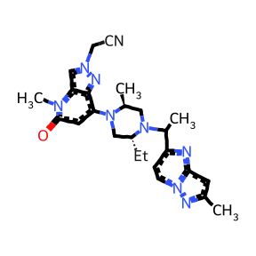 CC[C@@H]1CN(c2cc(=O)n(C)c3cn(CC#N)nc23)[C@@H](C)CN1C(C)c1ccn2nc(C)cc2n1